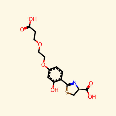 O=C(O)CCOCCOc1ccc(C2=N[C@@H](C(=O)O)CS2)c(O)c1